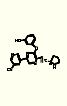 [C-]#[N+]c1cncc(-c2cnc(NC[C@@H]3CCCN3)c(Oc3cccc(O)c3)n2)c1